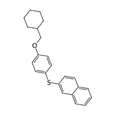 c1ccc2cc(Sc3ccc(OCC4CCCCC4)cc3)ccc2c1